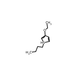 [CH2]CCC[SH]1C=CC(OCC)=C1